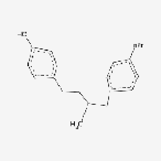 CCCc1ccc(CC(C)CCc2ccc(O)cc2)cc1